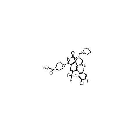 CC(=O)N1CCN(c2nc(=O)n3c4c(c(-c5cc(Cl)c(F)cc5F)c(C(F)(F)F)cc24)SCC3CN2CCCC2)CC1